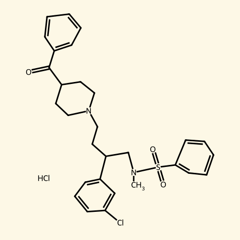 CN(CC(CCN1CCC(C(=O)c2ccccc2)CC1)c1cccc(Cl)c1)S(=O)(=O)c1ccccc1.Cl